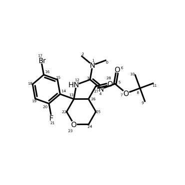 CN(C)C(=NC(=O)OC(C)(C)C)NC1(c2cc(Br)ccc2F)COCCC1C=O